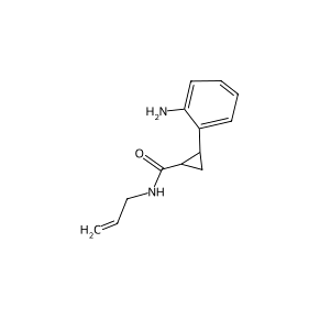 C=CCNC(=O)C1CC1c1ccccc1N